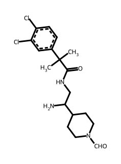 CC(C)(C(=O)NCC(N)C1CCN(C=O)CC1)c1ccc(Cl)c(Cl)c1